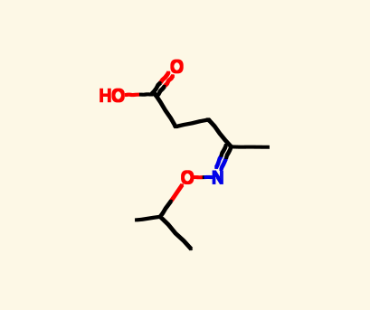 CC(CCC(=O)O)=NOC(C)C